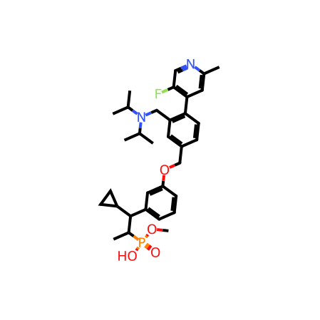 COP(=O)(O)C(C)C(c1cccc(OCc2ccc(-c3cc(C)ncc3F)c(CN(C(C)C)C(C)C)c2)c1)C1CC1